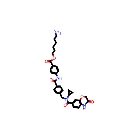 NCCCCCCOC(=O)c1ccc(NC(=O)c2ccc(CN(C(=O)c3ccc4c(c3)OCC(=O)N4)C3CC3)cc2)cc1